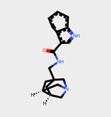 O=C(NCC12C[C@H]3CN(C[C@@H]3C1)C2)c1c[nH]c2ccccc12